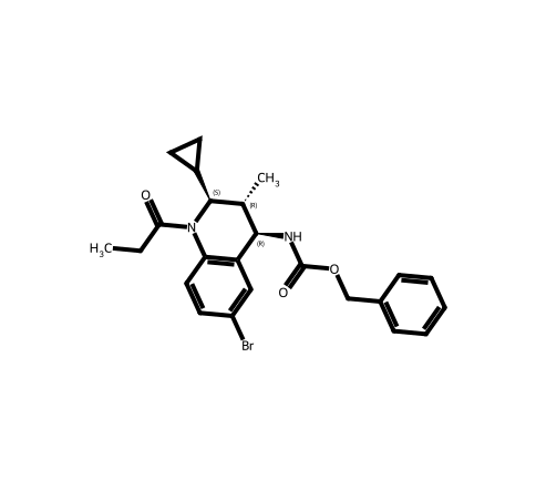 CCC(=O)N1c2ccc(Br)cc2[C@H](NC(=O)OCc2ccccc2)[C@@H](C)[C@@H]1C1CC1